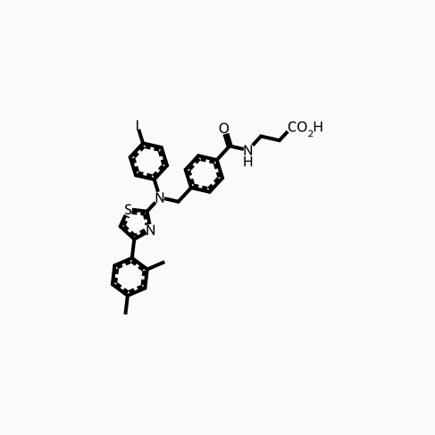 Cc1ccc(-c2csc(N(Cc3ccc(C(=O)NCCC(=O)O)cc3)c3ccc(I)cc3)n2)c(C)c1